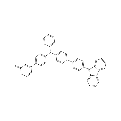 C=C1C=C(c2ccc(N(c3ccccc3)c3ccc(-c4ccc(-n5c6ccccc6c6ccccc65)cc4)cc3)cc2)C=CC1